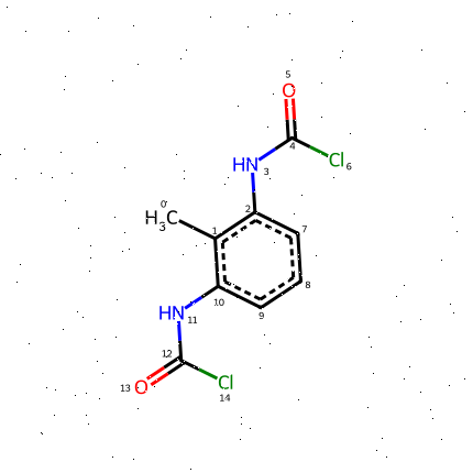 Cc1c(NC(=O)Cl)cccc1NC(=O)Cl